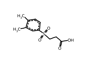 Cc1ccc(S(=O)(=O)CCC(=O)O)cc1C